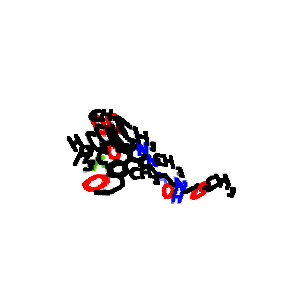 COCCNC(=O)/C=C/c1cc2c(-c3cc(F)c4c(c3C)CCCO4)c([C@H](OC(C)(C)C)C(=O)OC)c(C)nc2n1C